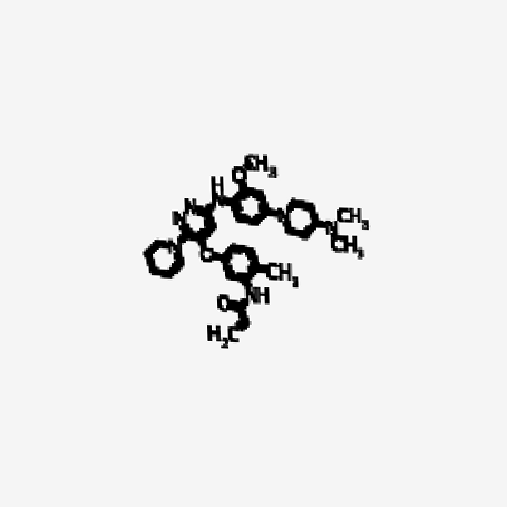 C=CC(=O)Nc1cc(Oc2cc(Nc3ccc(N4CCC(N(C)C)CC4)cc3OC)nnc2N2CCCCC2)ccc1C